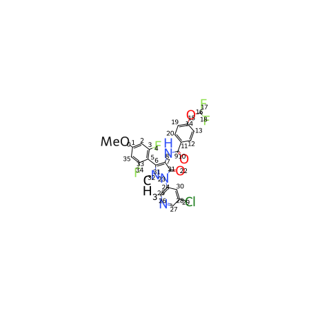 COc1cc(F)c(-c2c(NC(=O)c3ccc(OC(F)F)cc3)c(=O)n(-c3cncc(Cl)c3)n2C)c(F)c1